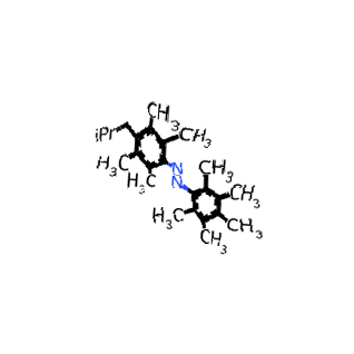 Cc1c(C)c(C)c(N=Nc2c(C)c(C)c(CC(C)C)c(C)c2C)c(C)c1C